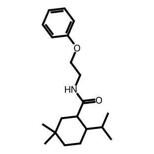 CC(C)C1CCC(C)(C)CC1C(=O)NCCOc1ccccc1